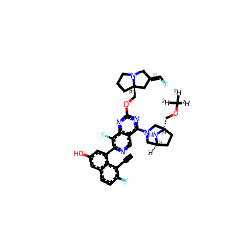 [2H]C([2H])([2H])OC[C@@]12CC[C@@H](CN(c3nc(OC[C@@]45CCCN4C/C(=C/F)C5)nc4c(F)c(-c5cc(O)cc6ccc(F)c(C#C)c56)ncc34)C1)N2